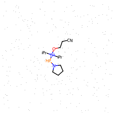 CC(C)[N+](OCCC#N)(PN1CCCC1)C(C)C